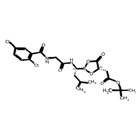 CC(C)C[C@H](NC(=O)CNC(=O)c1cc(Cl)ccc1Cl)B1OC(=O)[C@H](CC(=O)OC(C)(C)C)O1